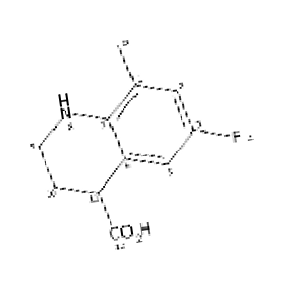 Cc1cc(F)cc2c1NCCC2C(=O)O